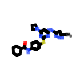 Cc1cc(Nc2cc(N3CCC3)nc(Sc3ccc(NC(=O)C4CCCCC4)cc3)n2)n[nH]1